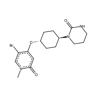 Cn1cc(Br)c(O[C@H]2CC[C@H](N3CCCNC3=O)CC2)cc1=O